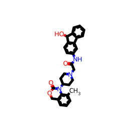 Cc1cccc2c1N(C1CCN(CC(=O)Nc3ccc4c(c3)-c3ccccc3C4O)CC1)C(=O)OC2